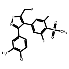 Cc1cc(-c2noc(CF)c2-c2cc(F)c(S(C)(=O)=O)c(F)c2)ccc1Cl